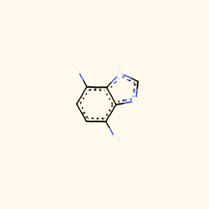 Nc1ccc(N)c2[nH]cnc12